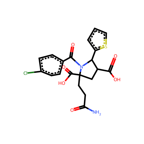 NC(=O)CCC1(C(=O)O)CC(C(=O)O)C(c2cccs2)N1C(=O)c1ccc(Cl)cc1